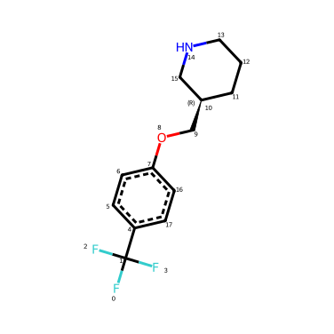 FC(F)(F)c1ccc(OC[C@@H]2CCCNC2)cc1